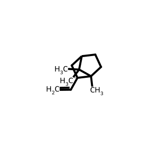 C=C[C]1CC2CCC1(C)C2(C)C